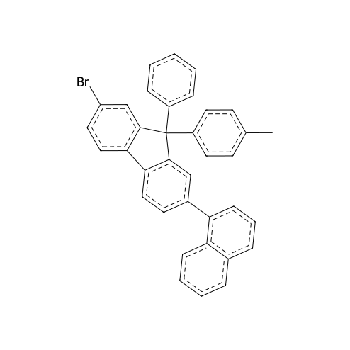 Cc1ccc(C2(c3ccccc3)c3cc(Br)ccc3-c3ccc(-c4cccc5ccccc45)cc32)cc1